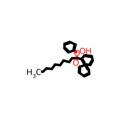 CCCCCCCCCC(Oc1ccccc1)(Oc1ccccc1)c1ccccc1O